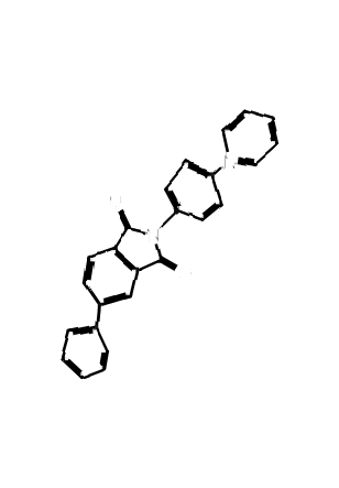 O=C1c2ccc(-c3ccccc3)cc2C(=O)N1c1ccc(-[n+]2ccccc2)cc1